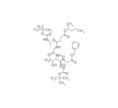 CCCC(C)OC(=O)CCC(=O)N[C@@H](CCNC(=O)OC(C)(C)C)C(=O)N[C@H](C(=O)N[C@@H](CNC(=O)OC(C)(C)C)C(=O)OCc1ccccc1)C(C)O